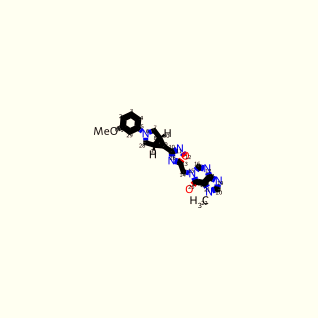 COc1cccc(N2C[C@@H]3C(c4noc(Cn5cnc6ncn(C)c6c5=O)n4)[C@@H]3C2)c1